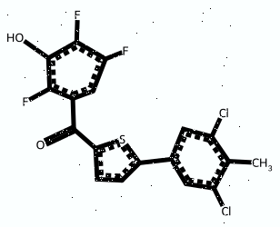 Cc1c(Cl)cc(-c2ccc(C(=O)c3cc(F)c(F)c(O)c3F)s2)cc1Cl